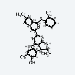 Cc1cn2cc(-c3nc(N)c4c(n3)NC(=O)[C@@]4(C)c3ccc(Cl)c(O)c3)nc(Cc3ccccc3F)c2n1